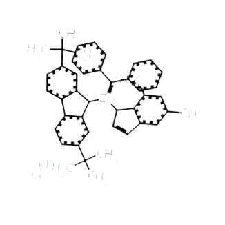 Cc1cc(C)c2c(c1)C=C[CH]2[Zr+2](=[C](c1ccccc1)c1ccccc1)[CH]1c2cc(C(C)(C)C)ccc2-c2ccc(C(C)(C)C)cc21.[Cl-].[Cl-]